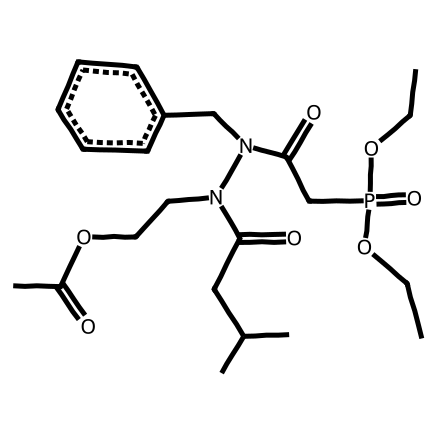 CCOP(=O)(CC(=O)N(Cc1ccccc1)N(CCOC(C)=O)C(=O)CC(C)C)OCC